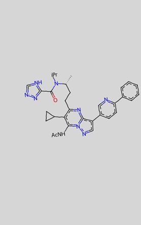 CC(=O)Nc1c(C2CC2)c(CC[C@@H](C)N(C(=O)c2nnc[nH]2)C(C)C)nc2c(-c3ccc(-c4ccccc4)nc3)cnn12